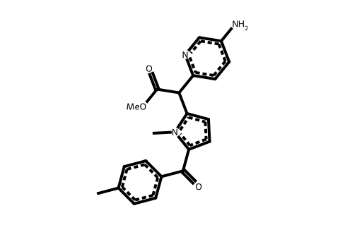 COC(=O)C(c1ccc(N)cn1)c1ccc(C(=O)c2ccc(C)cc2)n1C